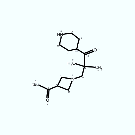 CC(C)(C)C(=O)C1CN(CC(C)(C)C(=O)C2CCNCC2)C1